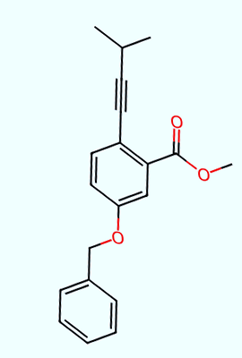 COC(=O)c1cc(OCc2ccccc2)ccc1C#CC(C)C